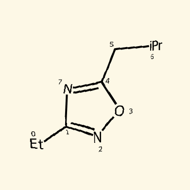 CCc1noc(CC(C)C)n1